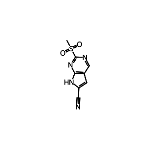 CS(=O)(=O)c1ncc2cc(C#N)[nH]c2n1